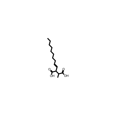 CCCCCCCCC=CC(C(=O)O)C(C)C(=O)O